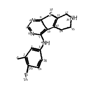 Cc1cc(Nc2ncnc3sc4c(c23)CCNC4)ccc1F